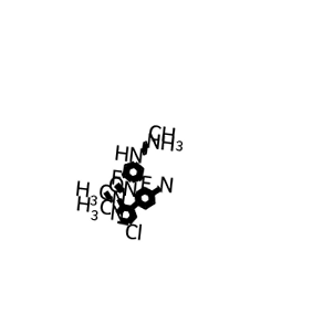 CNCCNc1cc(F)c(N2C(=O)N(C(C)C)c3ncc(Cl)cc3-c3ccc(C#N)cc32)c(F)c1